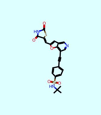 CC(C)(C)NS(=O)(=O)c1ccc(C#Cc2cncc3cc(/C=C4\SC(=O)NC4=O)oc23)cc1